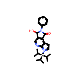 CC(C)[Si](C(C)C)(C(C)C)n1ccc2c3c(cnc21)C(O)N(c1ccccc1)C3=O